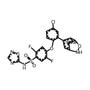 CNc1c2cc(-c3cc(Cl)ccc3Oc3cc(F)c(S(=O)(=O)Nc4ncns4)cc3F)cc1ON2